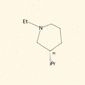 CCN1CCC[C@H](C(C)C)C1